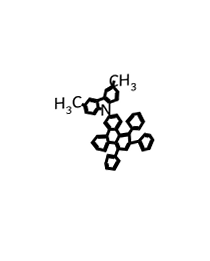 Cc1ccc2c(c1)c1cc(C)ccc1n2-c1ccc2c(c1)c1ccccc1c1c(-c3ccccc3)cc(-c3ccccc3)c(-c3ccccc3)c21